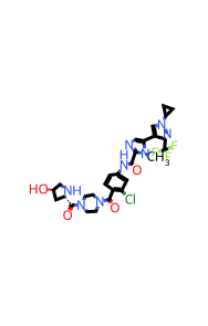 Cn1c(-c2cn(C3CC3)nc2C(F)(F)F)cnc1C(=O)Nc1ccc(C(=O)N2CCN(C(=O)[C@@H]3C[C@@H](O)CN3)CC2)c(Cl)c1